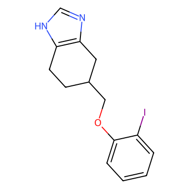 Ic1ccccc1OCC1CCc2[nH]cnc2C1